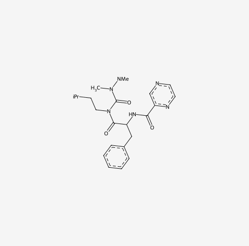 CNN(C)C(=O)N(CCC(C)C)C(=O)C(Cc1ccccc1)NC(=O)c1cnccn1